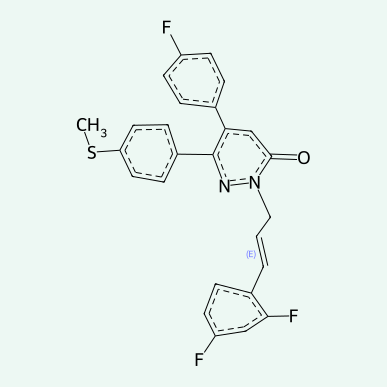 CSc1ccc(-c2nn(C/C=C/c3ccc(F)cc3F)c(=O)cc2-c2ccc(F)cc2)cc1